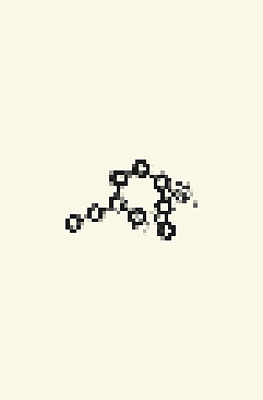 CC1(C)c2ccccc2-c2cc3c(cc21)-c1cc(-c2cccc(-c4cccc(-c5cc(-c6ccc(-c7ccccc7)cc6)nc(-c6ccccc6)n5)c4)c2)ccc1C3(C)C